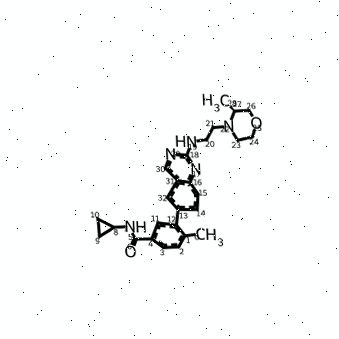 Cc1ccc(C(=O)NC2CC2)cc1-c1ccc2nc(NCCN3CCOC[C@@H]3C)ncc2c1